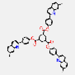 Cc1ccc2ccc(-c3ccc(OC(=O)C4CC(C(=O)Oc5ccc(-c6ccc7ccc(C)cc7n6)cc5)CC(C(=O)Oc5ccc(-c6ccc7ccc(C)cc7n6)cc5)C4)cc3)nc2c1